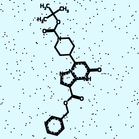 CC(C)(C)OC(=O)N1CCC(c2cc(=O)[nH]c3c(C(=O)OCc4ccccc4)cnn23)CC1